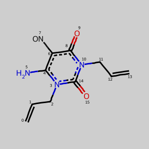 C=CCn1c(N)c(N=O)c(=O)n(CC=C)c1=O